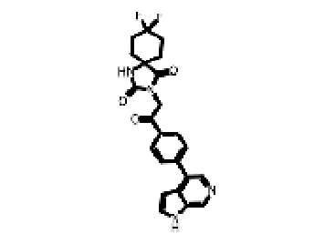 O=C(CN1C(=O)NC2(CCC(F)(F)CC2)C1=O)c1ccc(-c2cncc3[nH]ccc23)cc1